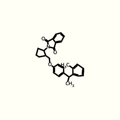 Cc1ccccc1C(C)c1ccc(OCC2CCCC2N2C(=O)c3ccccc3C2=O)cc1